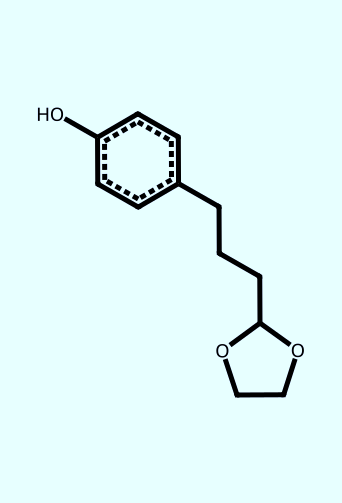 Oc1ccc(CCCC2OCCO2)cc1